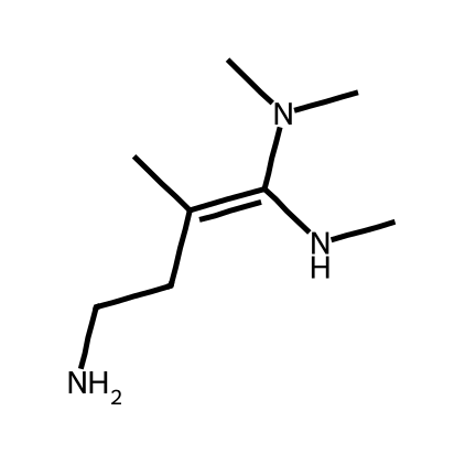 CNC(=C(C)CCN)N(C)C